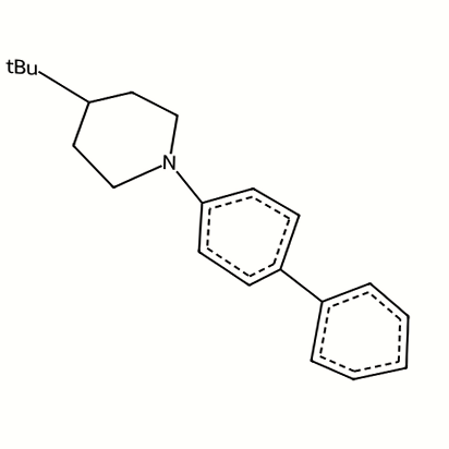 CC(C)(C)C1CCN(c2ccc(-c3ccccc3)cc2)CC1